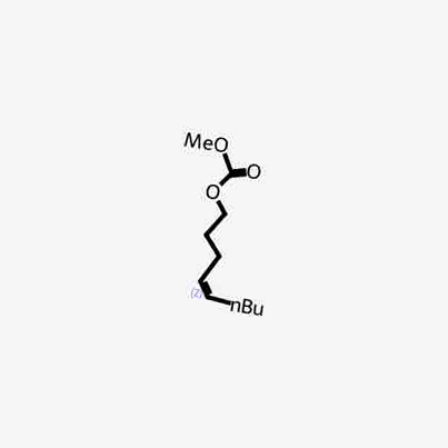 CCCC/C=C\CCCOC(=O)OC